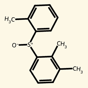 Cc1ccccc1[S+]([O-])c1cccc(C)c1C